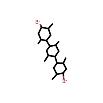 CC1CC(C2CC(C)C(C3CC(C)C(Br)CC3C)CC2C)C(C)CC1Br